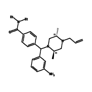 C=CCN1C[C@@H](C)N(C(c2ccc(C(=O)N(CC)CC)cc2)c2cccc(N)c2)C[C@@H]1C